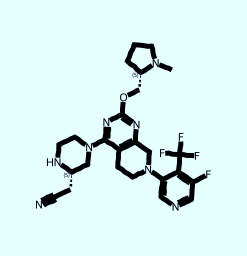 CN1CCC[C@H]1COc1nc2c(c(N3CCN[C@@H](CC#N)C3)n1)CCN(c1cncc(F)c1C(F)(F)F)C2